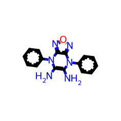 NC1=C(N)N(c2ccccc2)c2nonc2N1c1ccccc1